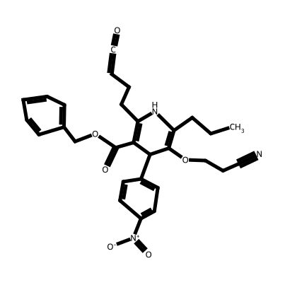 CCCC1=C(OCCC#N)C(c2ccc([N+](=O)[O-])cc2)C(C(=O)OCc2ccccc2)=C(CCC=C=O)N1